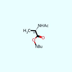 CCCCOC(=O)[C@H](C)NC(C)=O